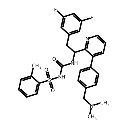 Cc1ccccc1S(=O)(=O)NC(=O)NC(Cc1cc(F)cc(F)c1)c1ncccc1-c1ccc(CN(C)C)cc1